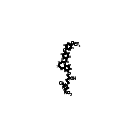 O=[N+]([O-])c1cn(CCC(O)COc2ccc3c(c2)CCCCN3Cc2ccc(Oc3ccc(OC(F)(F)F)cc3)cc2)c(Cl)n1